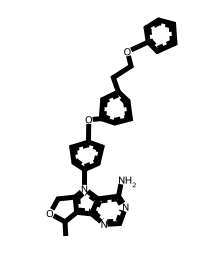 CC1OCc2c1c1ncnc(N)c1n2-c1ccc(Oc2cccc(CCOc3ccccc3)c2)cc1